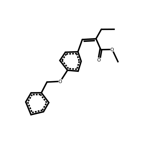 CCC(=Cc1ccc(OCc2ccccc2)cc1)C(=O)OC